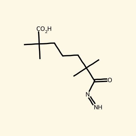 CC(C)(CCCC(C)(C)C(=O)N=N)C(=O)O